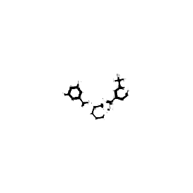 O=C(N[C@@H]1CCCn2nc(-c3ccnc(C(F)(F)F)c3)nc21)c1cc(F)cc(F)c1